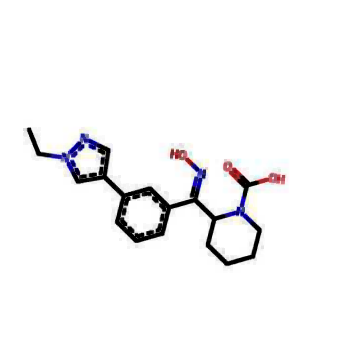 CCn1cc(-c2cccc(C(=NO)C3CCCCN3C(=O)O)c2)cn1